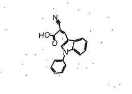 N#CC(=Cc1cn(-c2ccccc2)c2ccccc12)C(=O)O